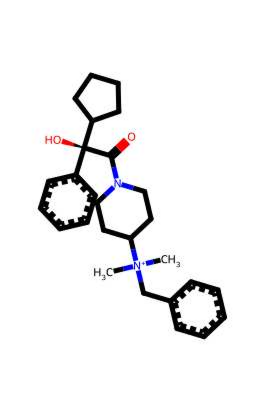 C[N+](C)(Cc1ccccc1)C1CCN(C(=O)[C@](O)(c2ccccc2)C2CCCC2)CC1